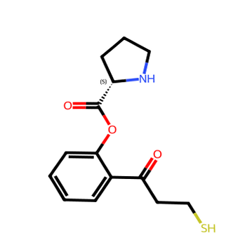 O=C(CCS)c1ccccc1OC(=O)[C@@H]1CCCN1